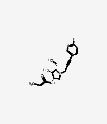 CCC(=O)N[C@H]1CN(CC#Cc2ccc(F)nc2)[C@@H](CO)[C@@H]1O